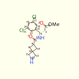 COC(=O)C[C@H](NC(=O)C1CC2(CNC2)C1)c1cc(Cl)cc(Cl)c1